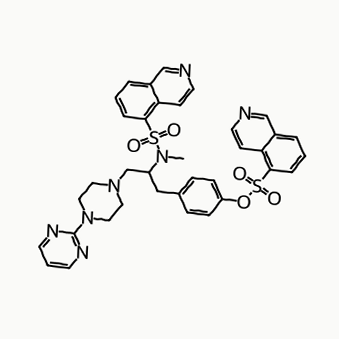 CN(C(Cc1ccc(OS(=O)(=O)c2cccc3cnccc23)cc1)CN1CCN(c2ncccn2)CC1)S(=O)(=O)c1cccc2cnccc12